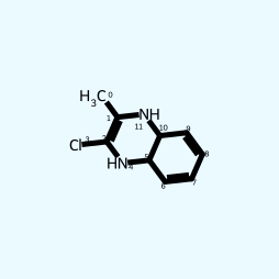 CC1=C(Cl)NC2C=CC=CC2N1